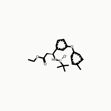 CCOC(=O)C[C@H](N[S@+]([O-])C(C)(C)C)c1cccc(Oc2ccc(C)cc2)c1